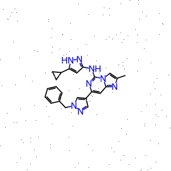 Cc1cn2c(Nc3cc(C4CC4)[nH]n3)nc(-c3cnn(Cc4ccccc4)c3)cc2n1